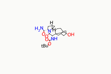 CC(C)(C)OC(=O)N[C@H](C(=O)N1[C@H](C(N)=O)C[C@@H]2C[C@@H]21)C12CCCC3CC(O)(CC3C1)C2